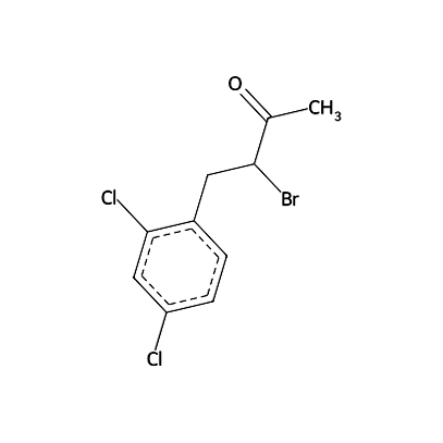 CC(=O)C(Br)Cc1ccc(Cl)cc1Cl